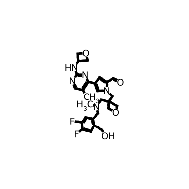 Cc1cnc(NC2COC2)nc1-c1cc(C=O)n(CC2(CN(C)Cc3cc(F)c(F)cc3CO)COC2)c1